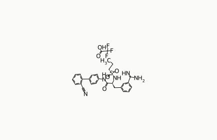 CCCS(=O)(=O)N[C@@H](Cc1cccc(C(=N)N)c1)C(=O)Nc1ccc(-c2ccccc2C#N)cc1.O=C(O)C(F)(F)F